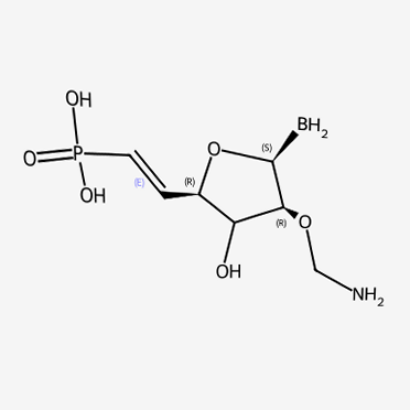 B[C@@H]1O[C@H](/C=C/P(=O)(O)O)C(O)[C@@H]1OCN